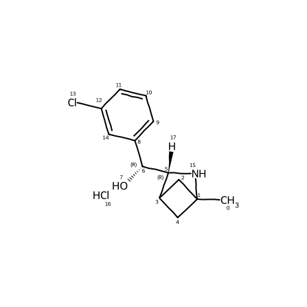 CC12CC(C1)[C@H]([C@H](O)c1cccc(Cl)c1)N2.Cl